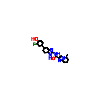 Cc1cccc2nc(C(=O)Nc3nc4cc(-c5ccc(O)c(F)c5)ccc4[nH]3)cn12